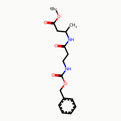 CC(CC(=O)OC(C)(C)C)NC(=O)CCNC(=O)OCc1ccccc1